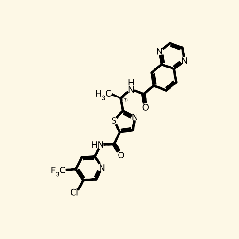 C[C@@H](NC(=O)c1ccc2nccnc2c1)c1ncc(C(=O)Nc2cc(C(F)(F)F)c(Cl)cn2)s1